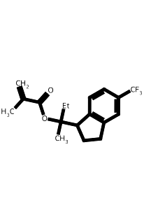 C=C(C)C(=O)OC(C)(CC)C1CCc2cc(C(F)(F)F)ccc21